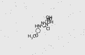 CO[C@H]1CC[C@H](Nc2cc(Cl)nc(CP(=O)(O)O)n2)CC1